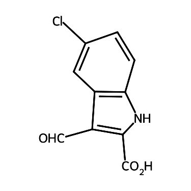 O=Cc1c(C(=O)O)[nH]c2ccc(Cl)cc12